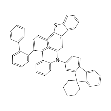 c1ccc(-c2ccccc2-c2ccccc2-c2ccccc2N(c2ccc3c(c2)C2(CCCCC2)c2ccccc2-3)c2ccc3sc4ccccc4c3c2)cc1